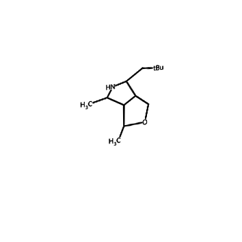 CC1NC(CC(C)(C)C)C2COC(C)C12